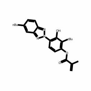 C=C(C)C(=O)Oc1ccc(-n2nc3ccc(CCCC)cc3n2)c(O)c1C(C)(C)C